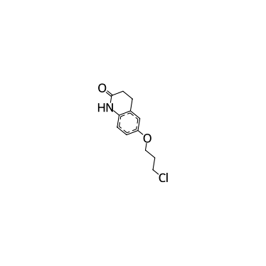 O=C1CCc2cc(OCCCCl)ccc2N1